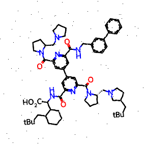 CC(C)(C)CC1CCN(C[C@@H]2CCCN2C(=O)c2cc(-c3cc(C(=O)NCc4cccc(-c5ccccc5)c4)nc(C(=O)N4CCC[C@H]4CN4CCCC4)c3)cc(C(=O)N[C@H](C(=O)O)C3CCCCC3CC(C)(C)C)n2)C1